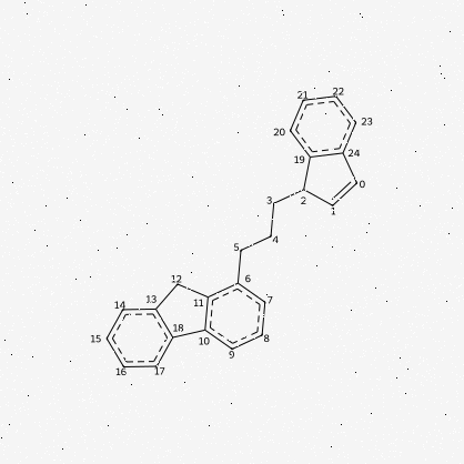 C1=CC(CCCc2cccc3c2Cc2ccccc2-3)c2ccccc21